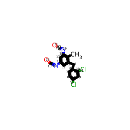 Cc1c(Cc2ccc(Cl)cc2Cl)cc(N=C=O)cc1N=C=O